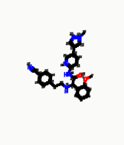 COc1ccccc1C(NCCc1ccc(C#N)cc1)C(=O)Nc1ccc(-c2cnn(C)c2)cn1